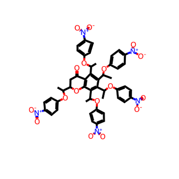 CC(Oc1ccc([N+](=O)[O-])cc1)c1c2c(c(C(C)Oc3ccc([N+](=O)[O-])cc3)c(C(C)Oc3ccc([N+](=O)[O-])cc3)c1C(C)Oc1ccc([N+](=O)[O-])cc1)C(=O)CC(C(C)Oc1ccc([N+](=O)[O-])cc1)O2